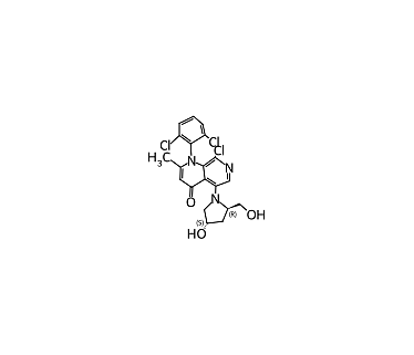 Cc1cc(=O)c2c(N3C[C@@H](O)C[C@@H]3CO)cnc(Cl)c2n1-c1c(Cl)cccc1Cl